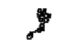 C[C@@H]1COc2c(-c3ccc(OCCCN4CCCCC4)nc3)ccc3ncc4c(c23)n1c(=O)n4C